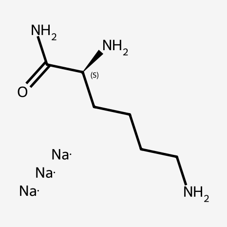 NCCCC[C@H](N)C(N)=O.[Na].[Na].[Na]